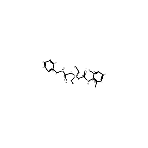 CC[N+](CC)(CC(=O)Nc1c(C)cccc1C)CC(=O)OCc1ccccc1